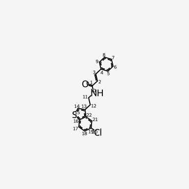 O=C(C=Cc1ccccc1)NCCc1csc2ccc(Cl)cc12